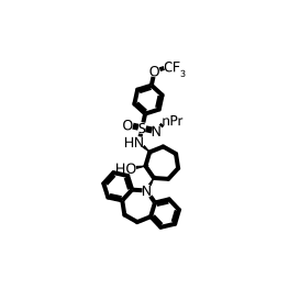 CCCN=S(=O)(N[C@H]1CCCC[C@@H](N2c3ccccc3CCc3ccccc32)[C@H]1O)c1ccc(OC(F)(F)F)cc1